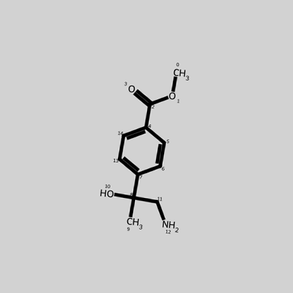 COC(=O)c1ccc(C(C)(O)CN)cc1